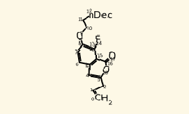 C=CCc1cc2ccc(OCCCCCCCCCCCC)c(F)c2c(=O)o1